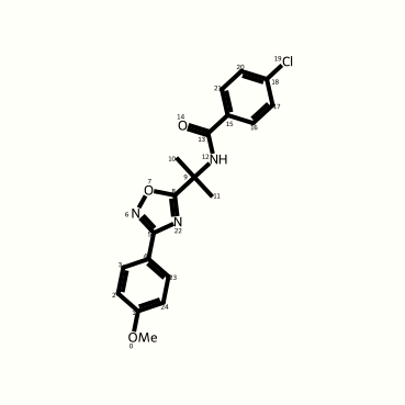 COc1ccc(-c2noc(C(C)(C)NC(=O)c3ccc(Cl)cc3)n2)cc1